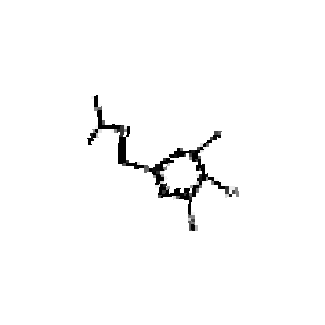 CC(C)N=Cc1cc(Br)c(O)c(Br)c1